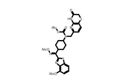 CO/N=C(/c1nc2c(OC)cccc2s1)C1CCC(N(Cc2ccc3c(n2)NC(=O)CS3)C(=O)OC(C)(C)C)CC1